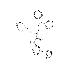 O=C(Nc1cccc(-c2cnco2)c1)N(CCC(c1ccccc1)c1ccccc1)CCN1CCOCC1